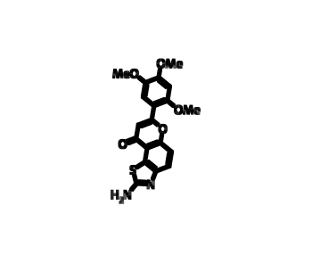 COc1cc(OC)c(-c2cc(=O)c3c(ccc4nc(N)sc43)o2)cc1OC